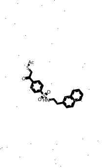 CC(=O)SCC(=O)c1ccc(S(=O)(=O)NCCc2ccc3ccccc3c2)cc1